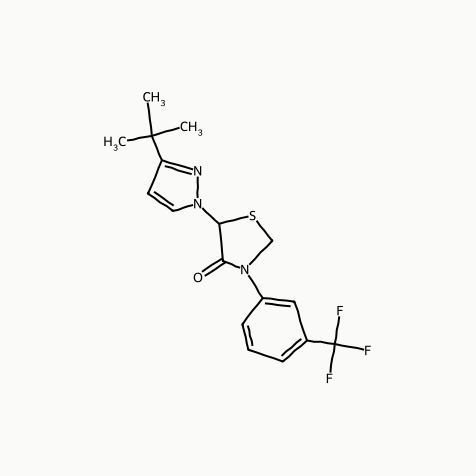 CC(C)(C)c1ccn(C2SCN(c3cccc(C(F)(F)F)c3)C2=O)n1